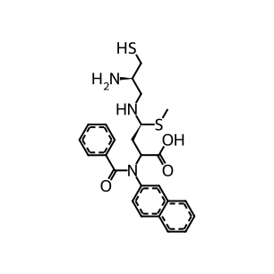 CS[C@@H](CC(C(=O)O)N(C(=O)c1ccccc1)c1ccc2ccccc2c1)NC[C@@H](N)CS